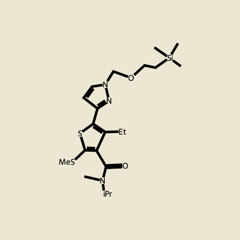 CCc1c(-c2ccn(COCC[Si](C)(C)C)n2)sc(SC)c1C(=O)N(C)C(C)C